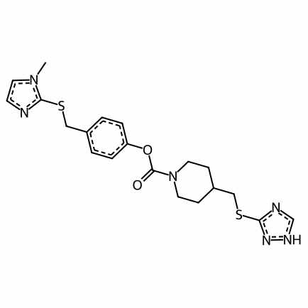 Cn1ccnc1SCc1ccc(OC(=O)N2CCC(CSc3nc[nH]n3)CC2)cc1